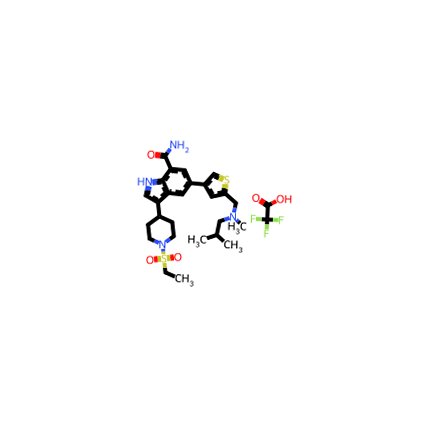 CCS(=O)(=O)N1CCC(c2c[nH]c3c(C(N)=O)cc(-c4csc(CN(C)CC(C)C)c4)cc23)CC1.O=C(O)C(F)(F)F